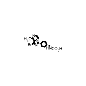 Cc1nccn2c1c(Br)nc2[C@H]1CC[C@H](CNC(=O)O)CC1